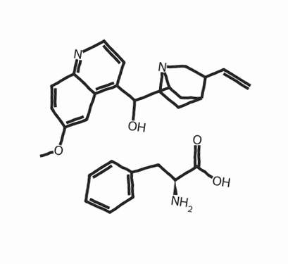 C=CC1CN2CCC1CC2C(O)c1ccnc2ccc(OC)cc12.N[C@@H](Cc1ccccc1)C(=O)O